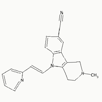 CN1CCc2c(c3cc(C#N)ccc3n2/C=C/c2ccccn2)C1